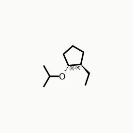 CC[C@@H]1CCC[C@H]1OC(C)C